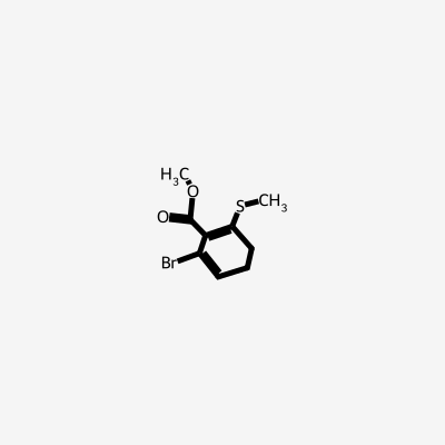 COC(=O)C1=C(SC)CCC=C1Br